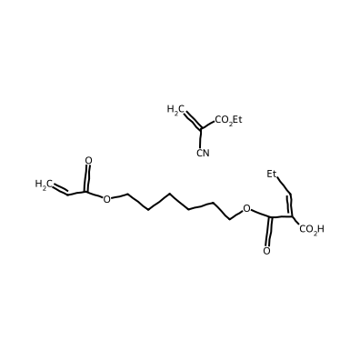 C=C(C#N)C(=O)OCC.C=CC(=O)OCCCCCCOC(=O)C(=CCC)C(=O)O